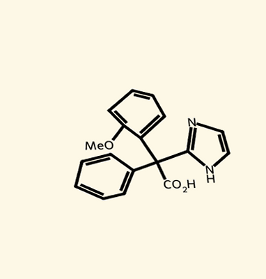 COc1ccccc1C(C(=O)O)(c1ccccc1)c1ncc[nH]1